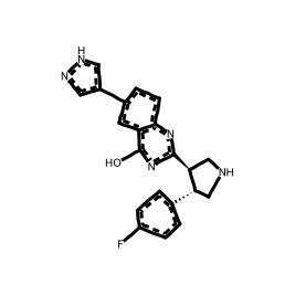 Oc1nc([C@H]2CNC[C@@H]2c2ccc(F)cc2)nc2ccc(-c3cn[nH]c3)cc12